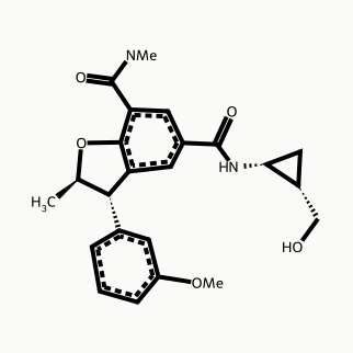 CNC(=O)c1cc(C(=O)N[C@@H]2C[C@@H]2CO)cc2c1O[C@H](C)[C@H]2c1cccc(OC)c1